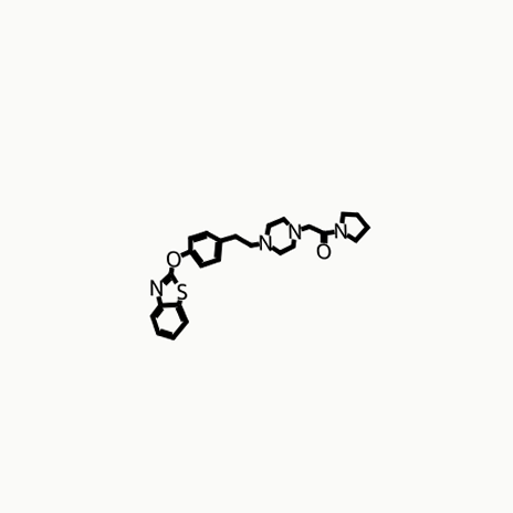 O=C(CN1CCN(CCc2ccc(Oc3nc4ccccc4s3)cc2)CC1)N1CCCC1